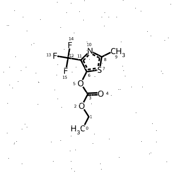 CCOC(=O)Oc1sc(C)nc1C(F)(F)F